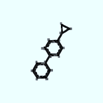 c1ccc(-c2ccc(C3CC3)cn2)cc1